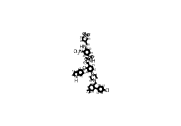 CC1(C)CCC(CN2CCN(c3ccc(C(=O)NS(=O)(=O)c4ccc(NCC5CCS(=O)(=O)C5)c([N+](=O)[O-])c4)c(Oc4ccc5[nH]ccc5c4)c3)CC2)=C(c2ccc(Cl)cc2)C1